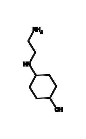 NCCNC1CCC(O)CC1